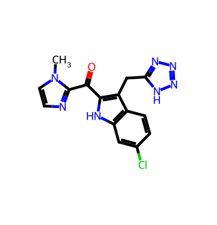 Cn1ccnc1C(=O)c1[nH]c2cc(Cl)ccc2c1Cc1nnn[nH]1